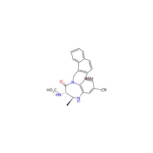 COc1ccc2ccccc2c1CN1C(=O)[C@@H](NC(=O)O)[C@H](C)Nc2cc(C#N)ccc21